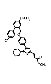 COC(=O)/C=C/c1cc(-c2ccc(OCc3cc(OC)ccc3-c3ccc(Cl)cc3)cc2)n(C2CCCCC2)n1